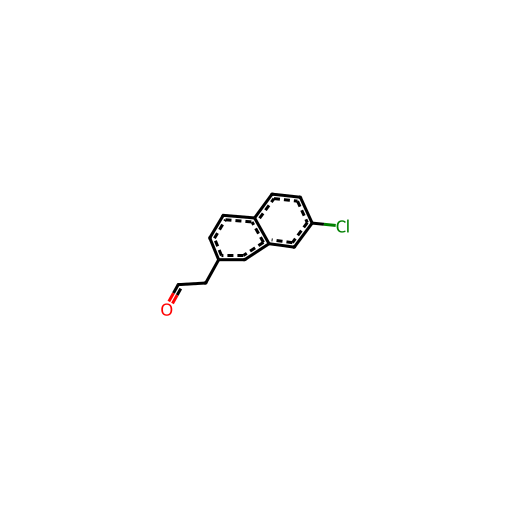 O=CCc1ccc2ccc(Cl)cc2c1